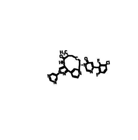 C[C@@H]1CCC[C@H](n2cnc(-c3c(F)ccc(Cl)c3F)cc2=O)c2cc(ccn2)-c2nn(-c3cncnc3)cc2NC1=O